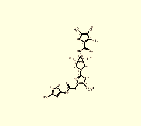 Cc1cc(NC(=O)Cc2nc(N3C[C@@H]4[C@H](C3)[C@H]4NC(=O)c3[nH]c(C)c(Cl)c3Cl)sc2C(=O)O)on1